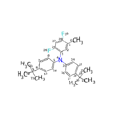 Cc1cc(N(c2ccc(C(C)(C)C)cc2)c2ccc(C(C)(C)C)cc2)c(F)cc1F